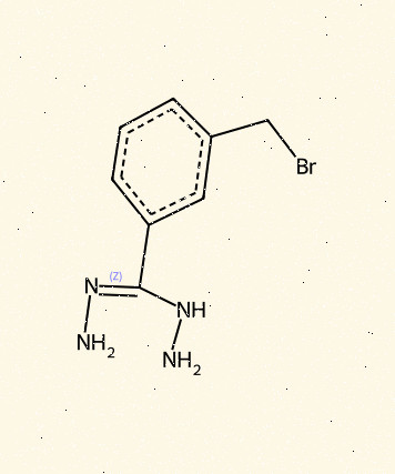 N/N=C(\NN)c1cccc(CBr)c1